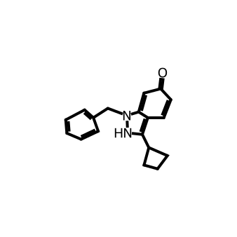 O=c1ccc2c(C3CCC3)[nH]n(Cc3ccccc3)c-2c1